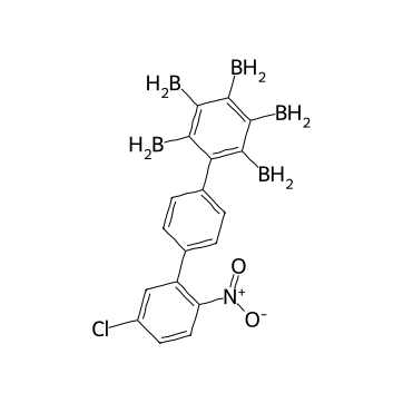 Bc1c(B)c(B)c(-c2ccc(-c3cc(Cl)ccc3[N+](=O)[O-])cc2)c(B)c1B